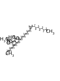 CCCCCCCCC1CC1CCCCCCCCCC(CCCCCCC)C(CCN(C)C)C(=O)O